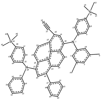 Cc1cc(C)cc(N(c2ccc([Si](C)(C)C)cc2)c2cc(C#N)c3ccc4c(N(c5ccccc5)c5ccc([Si](C)(C)C)cc5)cc(-c5ccccc5)c5ccc2c3c54)c1